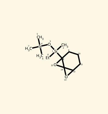 CC[Si](C)(O[Si](C)(C)C)C12CCCC3OC31O2